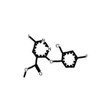 COC(=O)c1cc(I)nnc1Oc1ccc(F)cc1Cl